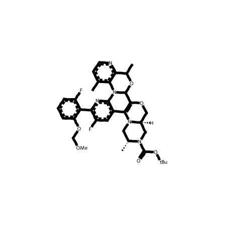 COCOc1cccc(F)c1-c1nc2c(cc1F)C1=C(OC[C@H]3CN(C(=O)OC(C)(C)C)[C@H](C)CN13)C1OC(C)c3nccc(C)c3N21